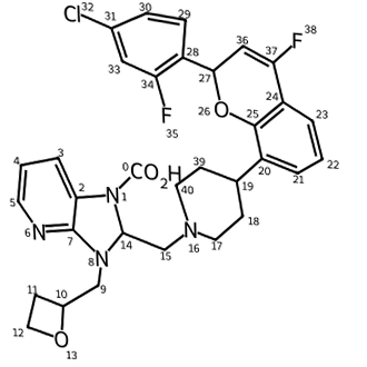 O=C(O)N1c2cccnc2N(CC2CCO2)C1CN1CCC(c2cccc3c2OC(c2ccc(Cl)cc2F)C=C3F)CC1